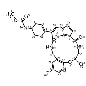 COC(=O)NC1CC=C(c2cn3ncc4c3nc2NCc2cc(F)cnc2OC(C)CNC4=O)CC1